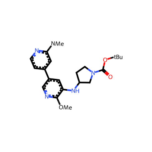 CNc1cc(-c2cnc(OC)c(NC3CCN(C(=O)OC(C)(C)C)C3)c2)ccn1